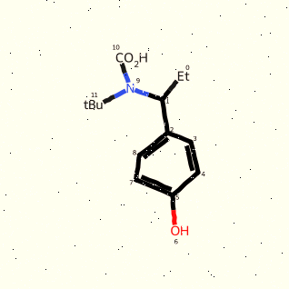 CCC(c1ccc(O)cc1)N(C(=O)O)C(C)(C)C